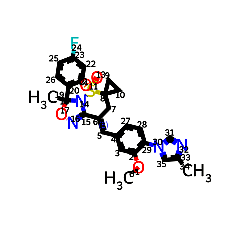 COc1cc(/C=C2\CC3(CC3)S(=O)(=O)N3C2=NOC3(C)c2ccc(F)cc2)ccc1-n1cnc(C)c1